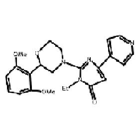 CCn1c(N2CCOC(c3c(OC)cccc3OC)C2)nc(-c2ccncc2)cc1=O